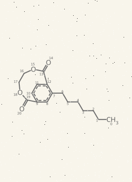 CCCCCCCc1cc2ccc1C(=O)OCCOC2=O